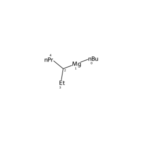 CCC[CH2][Mg][CH](CC)CCC